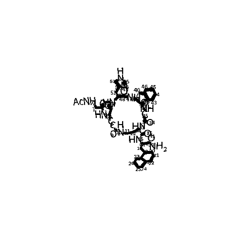 CC(=O)NCC(=O)N[C@H]1CCC(=O)NCC[C@@H](C(=O)N[C@H](Cc2cccc3ccccc23)C(N)=O)NC(=O)CNC(=O)[C@@H](Cc2ccccc2)NC(=O)[C@H](Cc2c[nH]cn2)NC1=O